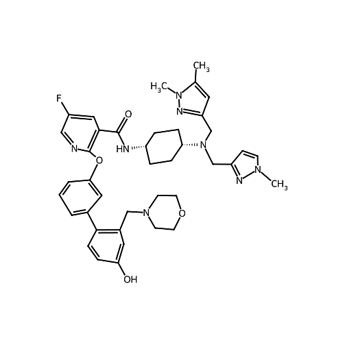 Cc1cc(CN(Cc2ccn(C)n2)[C@H]2CC[C@@H](NC(=O)c3cc(F)cnc3Oc3cccc(-c4ccc(O)cc4CN4CCOCC4)c3)CC2)nn1C